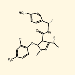 C[C@H](NC(=O)C1C(C(F)F)=NN(C)C1Oc1ccc(C(F)(F)F)cc1Cl)c1ccc(C(=O)O)cc1